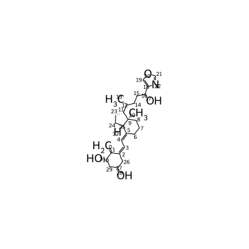 C=C1/C(=C\C=C2/CCC[C@]3(C)[C@@H]([C@H](C)CC[C@H](O)c4cocn4)CC[C@@H]23)C[C@@H](O)C[C@@H]1O